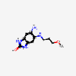 CCOCCCNc1cc2[nH]c(=O)[nH]c2cc1N